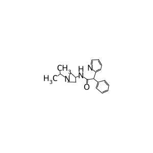 CC(C)N1CCC(NC(=O)C(c2ccccc2)c2ccccn2)C1